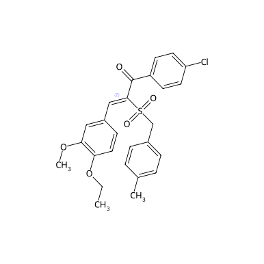 CCOc1ccc(/C=C(/C(=O)c2ccc(Cl)cc2)S(=O)(=O)Cc2ccc(C)cc2)cc1OC